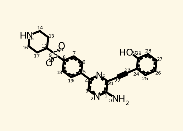 Nc1ncc(-c2ccc(S(=O)(=O)C3CCNCC3)cc2)nc1C#Cc1ccccc1O